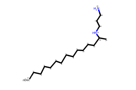 CCCCCCCCCCCCCCCCCCCCCCC(C)NCCCN